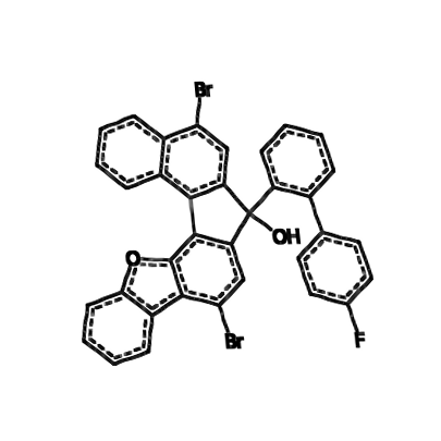 OC1(c2ccccc2-c2ccc(F)cc2)c2cc(Br)c3ccccc3c2-c2c1cc(Br)c1c2oc2ccccc21